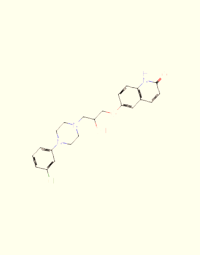 O=c1ccc2cc(OCC(O)CN3CCN(c4cccc(Cl)c4)CC3)ccc2[nH]1